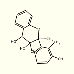 Cc1c(O)cccc1C1(C)Oc2ccccc2C(O)C1(C)O